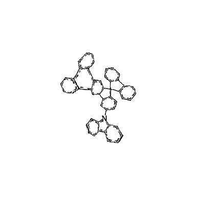 c1ccc2c(c1)-c1ccccc1C21c2ccc(-n3c4ccccc4c4ccccc43)cc2-c2cc3c4ccccc4c4ccccc4c3cc21